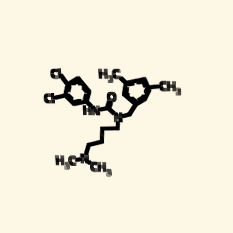 Cc1cc(C)cc(CN(CCCCN(C)C)C(=O)Nc2ccc(Cl)c(Cl)c2)c1